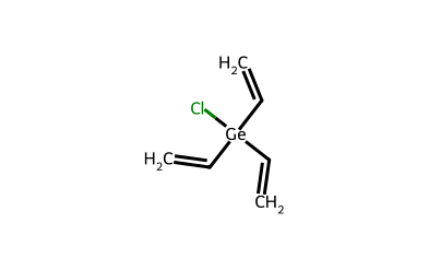 C=[CH][Ge]([Cl])([CH]=C)[CH]=C